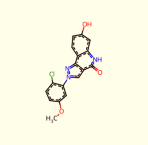 COc1ccc(Cl)c(-n2cc3c(=O)[nH]c4cc(O)ccc4c3n2)c1